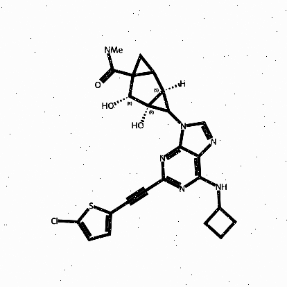 CNC(=O)C12CC1[C@H]1C(n3cnc4c(NC5CCC5)nc(C#Cc5ccc(Cl)s5)nc43)[C@@]1(O)[C@@H]2O